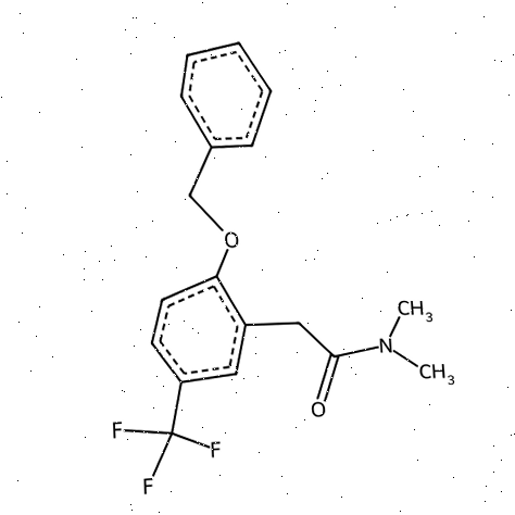 CN(C)C(=O)Cc1cc(C(F)(F)F)ccc1OCc1ccccc1